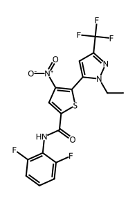 CCn1nc(C(F)(F)F)cc1-c1sc(C(=O)Nc2c(F)cccc2F)cc1[N+](=O)[O-]